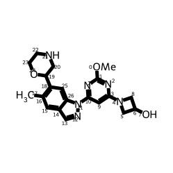 COc1nc(N2CC(O)C2)cc(-n2ncc3cc(C)c(C4CNCCO4)cc32)n1